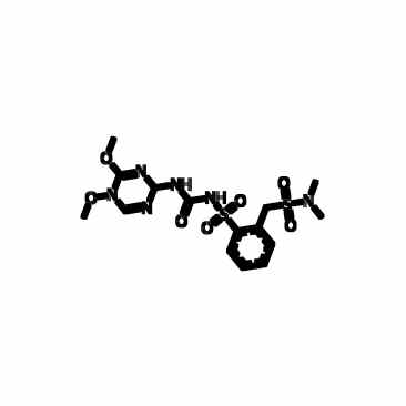 COC1=NC(NC(=O)NS(=O)(=O)c2ccccc2CS(=O)(=O)N(C)C)N=CN1OC